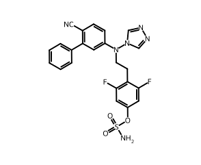 N#Cc1ccc(N(CCc2c(F)cc(OS(N)(=O)=O)cc2F)n2cnnc2)cc1-c1ccccc1